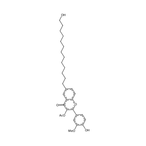 COc1cc(-c2oc3ccc(CCCCCCCCCCCCCO)cc3c(=O)c2OC(C)=O)ccc1O